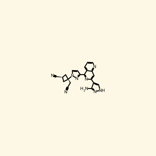 N#CC[C@]1(n2ccc(-c3nc(-c4c[nH]nc4N)cc4ncccc34)n2)C[C@H](C#N)C1